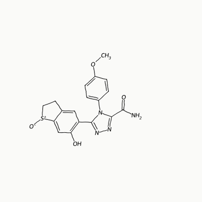 COc1ccc(-n2c(C(N)=O)nnc2-c2cc3c(cc2O)[S+]([O-])CC3)cc1